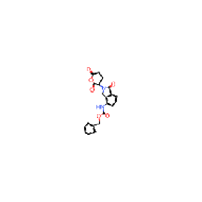 O=C1CCC(N2Cc3c(NC(=O)OCc4ccccc4)cccc3C2=O)C(=O)O1